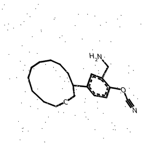 N#COc1ccc(C2CCCCCCCCCCC2)cc1CN